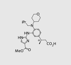 COC(=O)c1c[nH]c(Nc2cc([C@H](C)CC(=O)O)ccc2N(CC(C)C)C2CCOCC2)n1